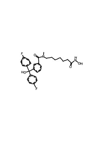 CN(CCCCCCC(=O)NO)C(=O)c1cccc(C(O)(c2ccc(F)cc2)c2ccc(F)cc2)c1